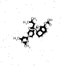 Cc1cc(N2CCC([N+](C)(C(=O)CC(C)C)[C@@H]3CCCc4ccc(OC(=O)O)cc43)CC2)nc(C)n1